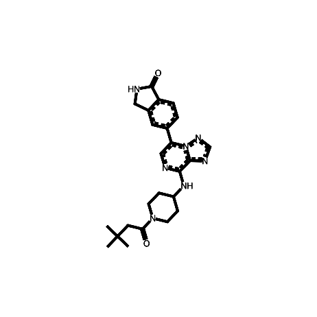 CC(C)(C)CC(=O)N1CCC(Nc2ncc(-c3ccc4c(c3)CNC4=O)n3ncnc23)CC1